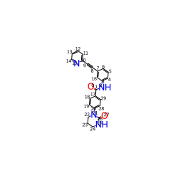 O=C(Nc1cccc(C#Cc2ccccn2)c1)c1ccc(N2CCCNC2=O)cc1